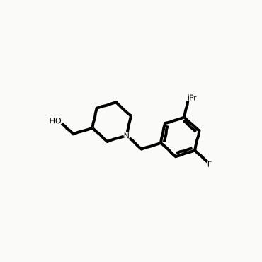 CC(C)c1cc(F)cc(CN2CCCC(CO)C2)c1